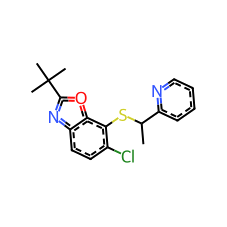 CC(Sc1c(Cl)ccc2nc(C(C)(C)C)oc12)c1ccccn1